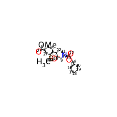 COC(=O)c1ccc(C2CCN(C(=O)OCc3ccccc3)CC2)c([S@@+](C)[O-])c1